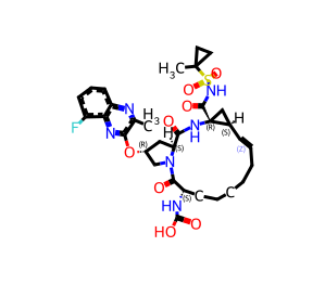 Cc1nc2cccc(F)c2nc1O[C@@H]1C[C@H]2C(=O)N[C@]3(C(=O)NS(=O)(=O)C4(C)CC4)C[C@H]3/C=C\CCCCC[C@H](NC(=O)O)C(=O)N2C1